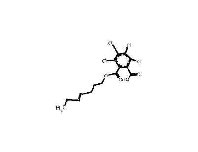 CCCCCCCOC(=O)c1c(Cl)c(Cl)c(Cl)c(Cl)c1C(=O)O